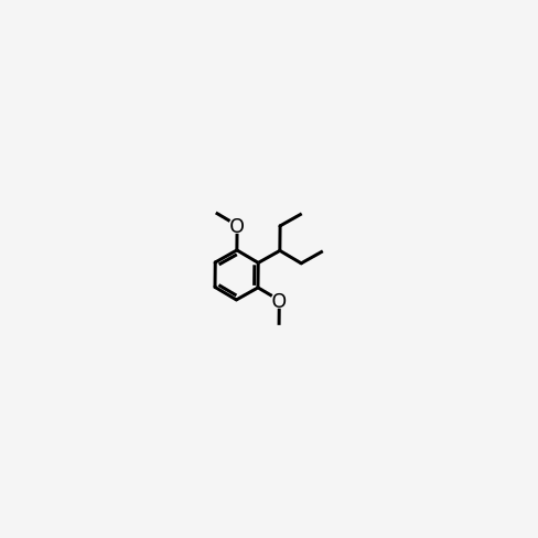 CCC(CC)c1c(OC)cccc1OC